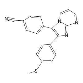 CSc1ccc(-c2nc3ncccn3c2-c2ccc(C#N)cc2)cc1